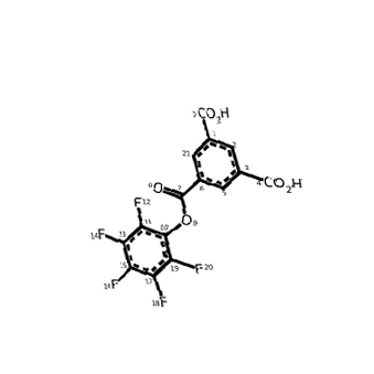 O=C(O)c1cc(C(=O)O)cc(C(=O)Oc2c(F)c(F)c(F)c(F)c2F)c1